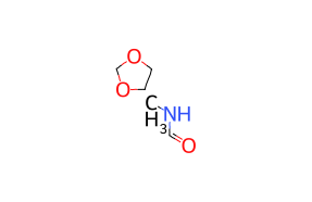 C1COCO1.CNC=O